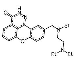 CCN(CC)CCN(CC)Cc1ccc2c(c1)-c1n[nH]c(=O)c3cccc(c13)O2